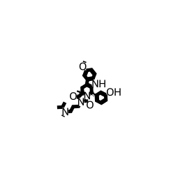 COc1ccc2[nH]c3c(c2c1)C[C@@]1(C)C(=O)N(CCCN(C)C(C)C)C(=O)N1[C@@H]3c1cccc(O)c1